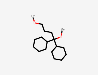 CCOCCCC(OCC)(C1CCCCC1)C1CCCCC1